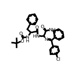 CC(C)(C)OC(=O)NC(Cc1ccccc1)C(=O)NC1N=C(c2ccc(Cl)cc2)c2ccccc2NC1=O